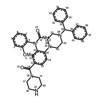 COc1ccccc1N(C(N)=O)c1cc(C(=O)N2CCNCC2)ccc1N1CCN(C(c2ccccc2)c2ccccc2)CC1